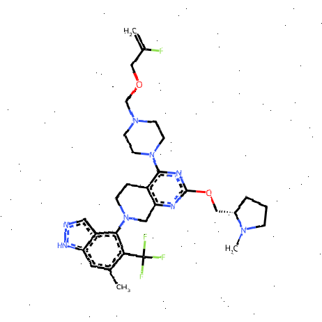 C=C(F)COCN1CCN(c2nc(OC[C@@H]3CCCN3C)nc3c2CCN(c2c(C(F)(F)F)c(C)cc4[nH]ncc24)C3)CC1